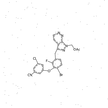 [C-]#[N+]c1cc(Cl)cc(Oc2c(Br)ccc(Cc3nn(COC(C)=O)c4nnccc34)c2F)c1